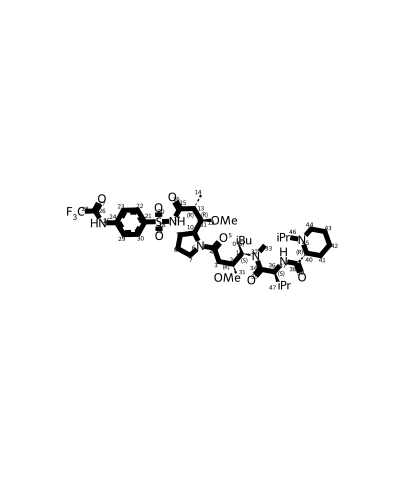 CC[C@H](C)[C@@H]([C@@H](CC(=O)N1CCCC1[C@H](OC)[C@@H](C)C(=O)NS(=O)(=O)c1ccc(NC(=O)C(F)(F)F)cc1)OC)N(C)C(=O)[C@@H](NC(=O)[C@H]1CCCCN1C(C)C)C(C)C